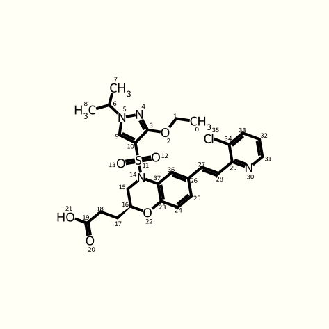 CCOc1nn(C(C)C)cc1S(=O)(=O)N1C[C@H](CCC(=O)O)Oc2ccc(/C=C/c3ncccc3Cl)cc21